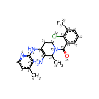 Cc1ccnc(NC2=C(N)C(C)N(C(=O)c3cccc(C(F)(F)F)c3Cl)CC2)c1